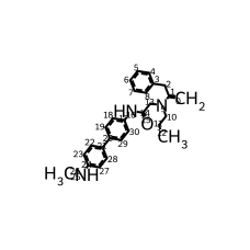 C=C(Cc1ccccc1)N(CCC)CC(=O)Nc1ccc(-c2ccc(NC)cc2)cc1